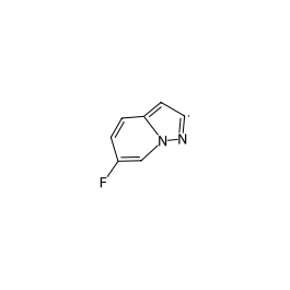 Fc1ccc2c[c]nn2c1